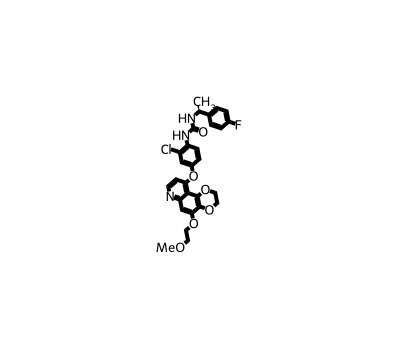 COCCOc1cc2nccc(Oc3ccc(NC(=O)N[C@H](C)c4ccc(F)cc4)c(Cl)c3)c2c2c1OCCO2